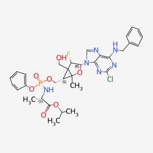 CC(C)OC(=O)[C@H](C)NP(=O)(OC[C@H]1C2(C)O[C@@H](n3cnc4c(NCc5ccccc5)nc(Cl)nc43)C(F)C12CO)Oc1ccccc1